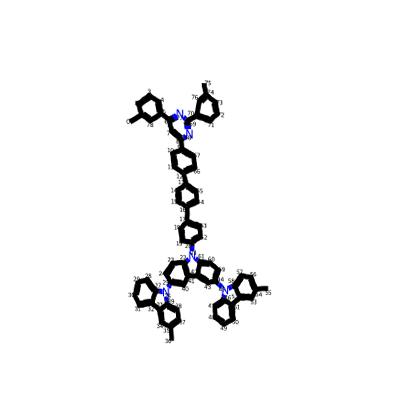 Cc1cccc(-c2cc(-c3ccc(-c4ccc(-c5ccc(-n6c7ccc(-n8c9ccccc9c9cc(C)ccc98)cc7c7cc(-n8c9ccccc9c9cc(C)ccc98)ccc76)cc5)cc4)cc3)nc(-c3cccc(C)c3)n2)c1